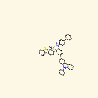 CC1(c2ccc3c(c2)sc2ccccc23)CC(c2ccc3c(c2)c2ccccc2n3-c2ccccc2)=CC=C1Nc1ccc(-c2ccccc2)cc1